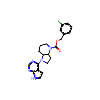 O=C(OCc1cccc(F)c1)N1CCCC2C1CCN2c1ncnc2[nH]ccc12